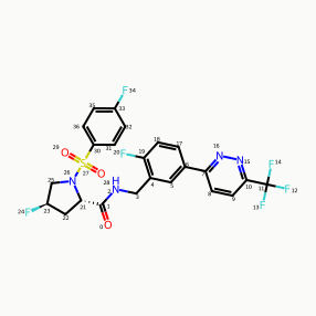 O=C(NCc1cc(-c2ccc(C(F)(F)F)nn2)ccc1F)[C@@H]1C[C@@H](F)CN1S(=O)(=O)c1ccc(F)cc1